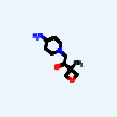 CC1(C(=O)CN2CCC(N)CC2)COC1